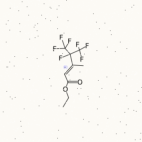 CCOC(=O)/C=C(\C)C(F)(C(F)(F)F)C(F)(F)F